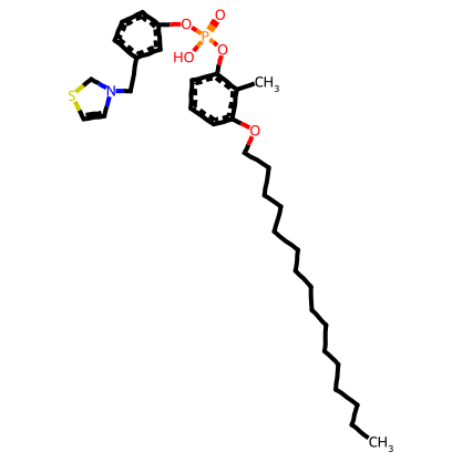 CCCCCCCCCCCCCCCCOc1cccc(OP(=O)(O)Oc2cccc(CN3C=CSC3)c2)c1C